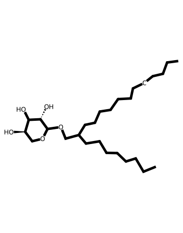 CCCCCCCCCCCCC(CCCCCCCC)COC1OC[C@@H](O)C(O)[C@@H]1O